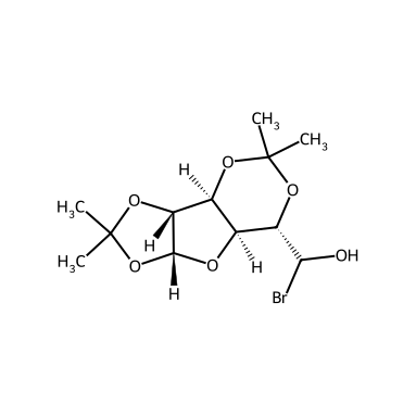 CC1(C)O[C@H]2O[C@H]3[C@H](OC(C)(C)O[C@@H]3C(O)Br)[C@H]2O1